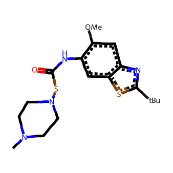 COc1cc2nc(C(C)(C)C)sc2cc1NC(=O)SN1CCN(C)CC1